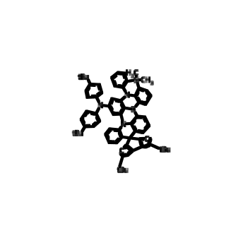 CC(C)(C)c1ccc(N(c2ccc(C(C)(C)C)cc2)c2cc3c4c(c2)N2c5ccccc5[Si](C)(C)c5cccc(c52)B4c2cccc4c2N3c2ccccc2C42c3ccc(C(C)(C)C)cc3-c3cc(C(C)(C)C)ccc32)cc1